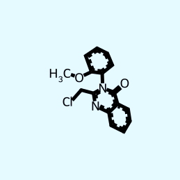 COc1ccccc1-n1c(CCl)nc2ccccc2c1=O